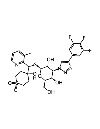 Cc1cccnc1[C@@H](S[C@@H]1O[C@H](CO)[C@H](O)[C@H](n2cc(-c3cc(F)c(F)c(F)c3)nn2)[C@H]1O)C1(O)CCS(=O)(=O)CC1